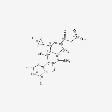 C[C@@H]1CN(c2c(F)c(N)c3c(=O)c(C(=O)C[N+](=O)[O-])cn(C4CC4)c3c2F)C[C@H](C)N1.Cl